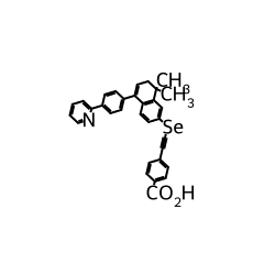 CC1(C)CC=C(c2ccc(-c3ccccn3)cc2)c2ccc([Se]C#Cc3ccc(C(=O)O)cc3)cc21